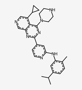 Cc1ccc(C(C)C)cc1Nc1cc(-c2nc(N3CCNCC3)c3c(C4CC4)cncc3n2)ccn1